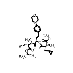 CC(C)C[C@@H](C(=O)O[C@H](C)C(=O)O)N(C)C(=O)[C@@H](CCc1ccc(N2CCOCC2)cc1)OC(=O)[C@H](CC1CC1)N(C)C(=O)OC(C)(C)C